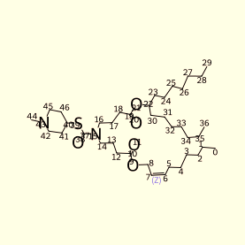 CCCCCC/C=C\COC(=O)CCCN(CCCC(=O)OC(CCCCCCC)CCCCCCC)C(=O)SC1CCN(C)CC1